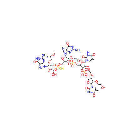 COCCO[C@H]1C[C@@H](COP(=O)(O)OC2[C@@H](COP(=O)(O)OC3[C@@H](COP(=O)(S)OC4[C@@H](CO)O[C@@H](n5cnc6c(=O)[nH]c(N)nc65)[C@H]4OCCOC)O[C@@H](n4cnc5c(=O)[nH]c(N)nc54)[C@H]3OCCOC)O[C@@H](n3cc(C)c(=O)[nH]c3=O)[C@H]2OCCOC)O[C@H]1n1cc(C)c(=O)[nH]c1=O